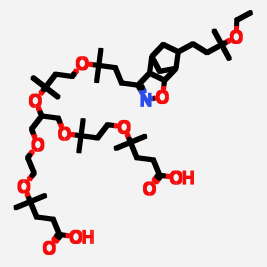 CCOC(C)(C)CCC1CC2CC1C1ON=C(CCC(C)(C)OCCC(C)(C)OC(COCCOC(C)(C)CCC(=O)O)COC(C)(C)CCOC(C)(C)CCC(=O)O)C21